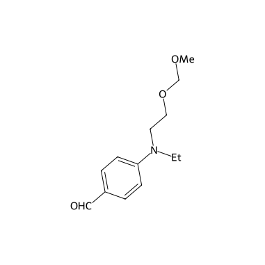 CCN(CCOCOC)c1ccc(C=O)cc1